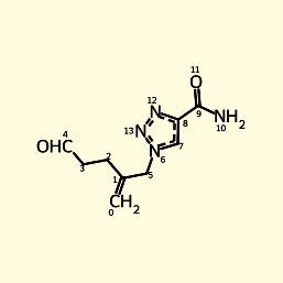 C=C(CCC=O)Cn1cc(C(N)=O)nn1